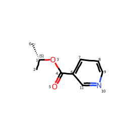 [CH2][C@@H](C)OC(=O)c1cccnc1